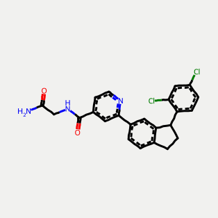 NC(=O)CNC(=O)c1ccnc(-c2ccc3c(c2)C(c2ccc(Cl)cc2Cl)CC3)c1